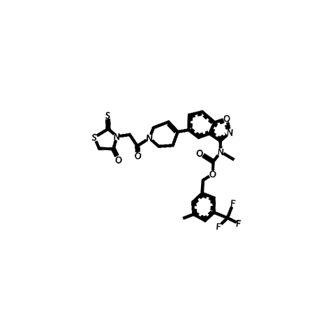 Cc1cc(COC(=O)N(C)c2noc3ccc(C4=CCN(C(=O)CN5C(=O)CSC5=S)CC4)cc23)cc(C(F)(F)F)c1